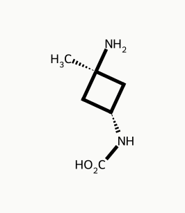 C[C@]1(N)C[C@H](NC(=O)O)C1